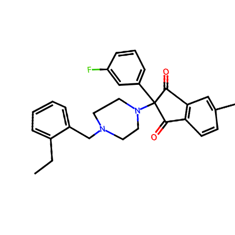 CCc1ccccc1CN1CCN(C2(c3cccc(F)c3)C(=O)c3ccc(C)cc3C2=O)CC1